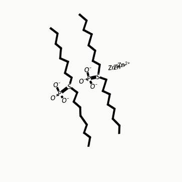 CCCCCCCCS(CCCCCCCC)=P([O-])([O-])[O-].CCCCCCCCS(CCCCCCCC)=P([O-])([O-])[O-].[Zn+2].[Zn+2].[Zn+2]